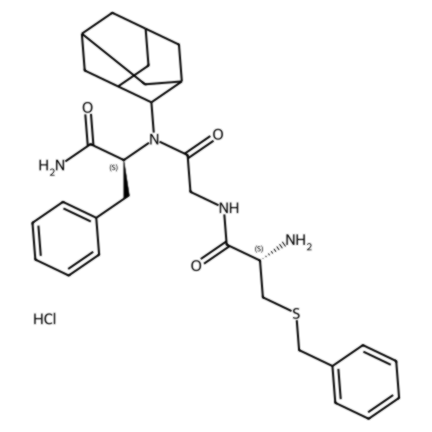 Cl.NC(=O)[C@H](Cc1ccccc1)N(C(=O)CNC(=O)[C@H](N)CSCc1ccccc1)C1C2CC3CC(C2)CC1C3